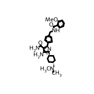 COc1ccccc1C(=O)NCc1ccc(-c2nn([C@H]3CC[C@@H](CN(C)C)CC3)c(N)c2C(N)=O)cc1